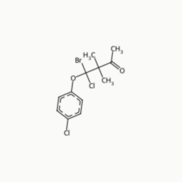 CC(=O)C(C)(C)C(Cl)(Br)Oc1ccc(Cl)cc1